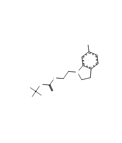 Cc1ccc2c(c1)N(CCNC(=O)OC(C)(C)C)CC2